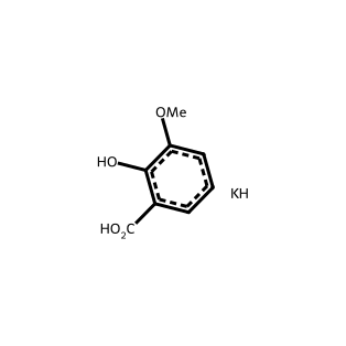 COc1cccc(C(=O)O)c1O.[KH]